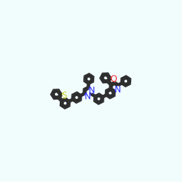 c1ccc(-c2cc(-c3ccc(-c4cccc5c4sc4ccccc45)cc3)nc(-c3cccc(-c4ccc5nc(-c6ccccc6)c6oc7ccccc7c6c5c4)c3)n2)cc1